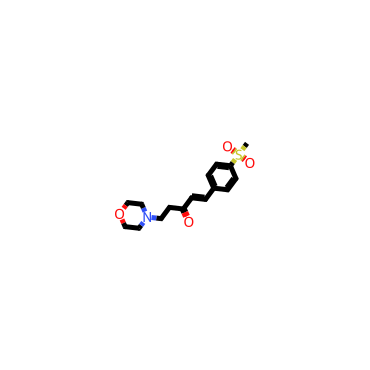 CS(=O)(=O)c1ccc(C=CC(=O)CCN2CCOCC2)cc1